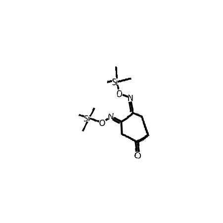 C[Si](C)(C)O/N=C1/CCC(=O)C/C1=N\O[Si](C)(C)C